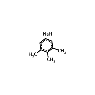 Cc1cccc(C)c1C.[NaH]